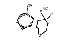 Cl.FC1(F)CCNCC1.Oc1ccccc1